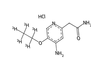 Cl.[2H]C([2H])([2H])C([2H])([2H])Oc1cnc(CC(N)=O)cc1N